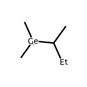 CC[CH](C)[Ge]([CH3])[CH3]